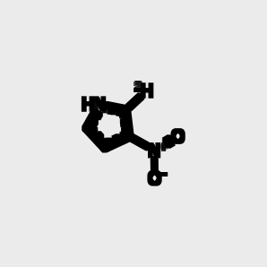 [2H]c1[nH]ccc1[N+](=O)[O-]